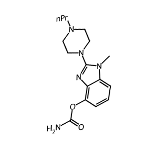 CCCN1CCN(c2nc3c(OC(N)=O)cccc3n2C)CC1